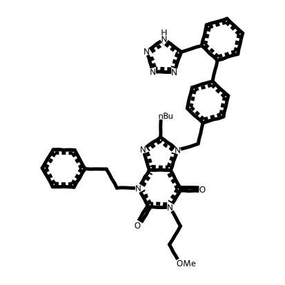 CCCCc1nc2c(c(=O)n(CCOC)c(=O)n2CCc2ccccc2)n1Cc1ccc(-c2ccccc2-c2nnn[nH]2)cc1